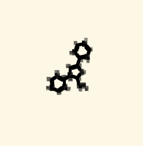 NC1SC(c2ncncn2)=CN1c1ncncn1